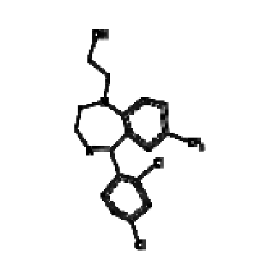 OCCN1CCN=C(c2ccc(Cl)cc2Cl)c2cc(C(F)(F)F)ccc21